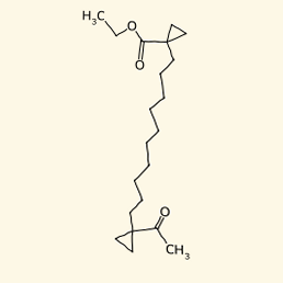 CCOC(=O)C1(CCCCCCCCCCC2(C(C)=O)CC2)CC1